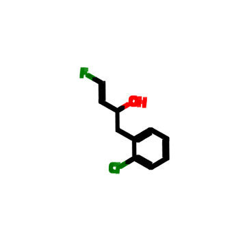 OC(C=CF)Cc1ccccc1Cl